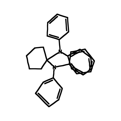 c1ccc(N(c2ccccc2)C2(N(c3ccccc3)c3ccccc3)CCCCC2)cc1